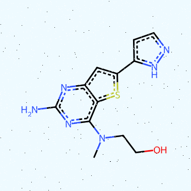 CN(CCO)c1nc(N)nc2cc(-c3ccn[nH]3)sc12